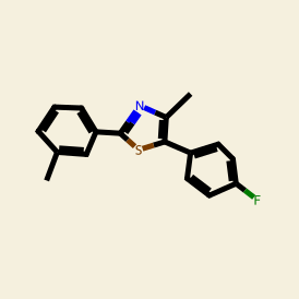 Cc1cccc(-c2nc(C)c(-c3ccc(F)cc3)s2)c1